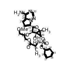 COCCCOC(=O)[C@H](C)N[P@](=O)(Oc1ccccc1)OC1[C@@]2(C)O[C@@H](c3ccc4c(N)ncnn34)[C@H](O)[C@@]12O